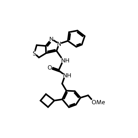 COCc1ccc(C2CCC2)c(CNC(=O)Nc2c3c(nn2-c2ccccc2)CSC3)c1